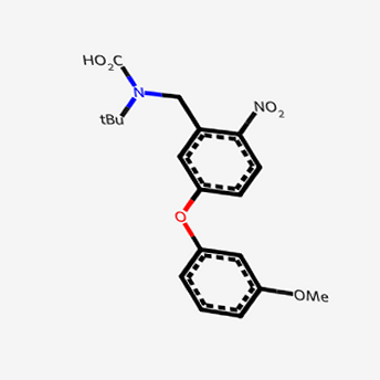 COc1cccc(Oc2ccc([N+](=O)[O-])c(CN(C(=O)O)C(C)(C)C)c2)c1